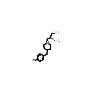 N[C@H](CO)CN1CCC(Cc2ccc(F)cc2)CC1